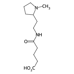 CN1CCCC1CCNC(=O)CCCC(=O)O